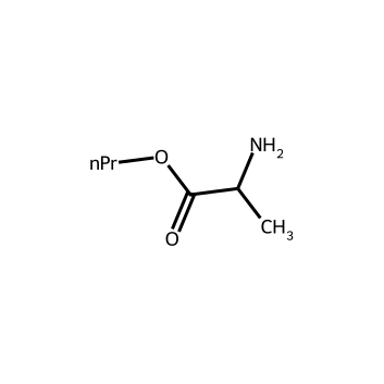 CCCOC(=O)C(C)N